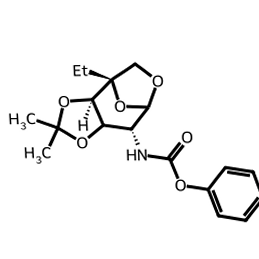 CC[C@@]12COC(O1)[C@H](NC(=O)Oc1ccccc1)C1OC(C)(C)O[C@H]12